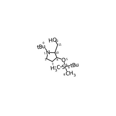 CC(C)(C)N1CCC(O[Si](C)(C)C(C)(C)C)C1CO